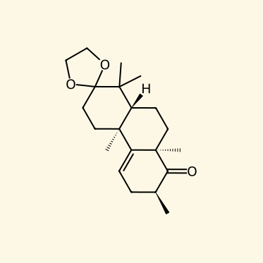 C[C@H]1CC=C2[C@@](C)(CC[C@H]3C(C)(C)C4(CC[C@]23C)OCCO4)C1=O